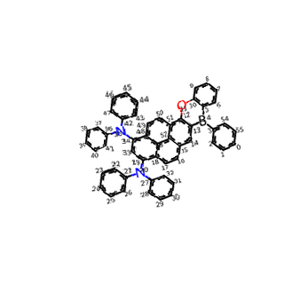 c1ccc(B2c3ccccc3Oc3c2cc2ccc4c(N(c5ccccc5)c5ccccc5)cc(N(c5ccccc5)c5ccccc5)c5ccc3c2c45)cc1